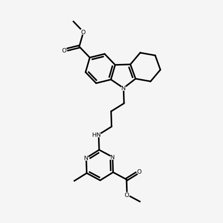 COC(=O)c1ccc2c(c1)c1c(n2CCCNc2nc(C)cc(C(=O)OC)n2)CCCC1